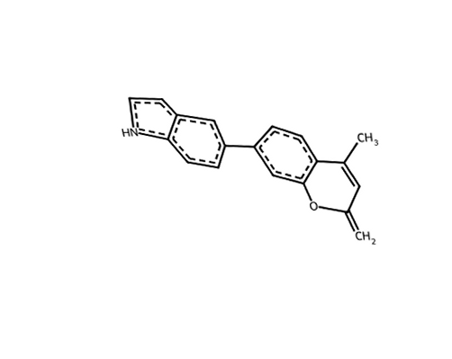 C=C1C=C(C)c2ccc(-c3ccc4[nH]ccc4c3)cc2O1